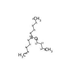 CCCCCB(CCCCC)OCCCC